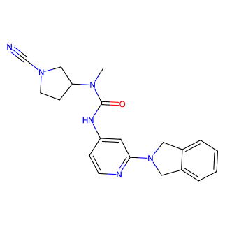 CN(C(=O)Nc1ccnc(N2Cc3ccccc3C2)c1)C1CCN(C#N)C1